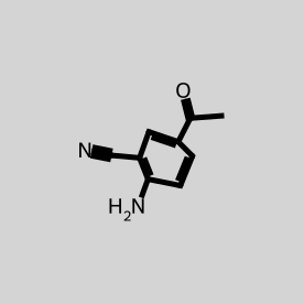 CC(=O)c1ccc(N)c(C#N)c1